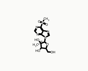 C[C@@]1(O)C(O)C(CO)OC1n1cnc2c(S(C)(=O)=O)ncnc21